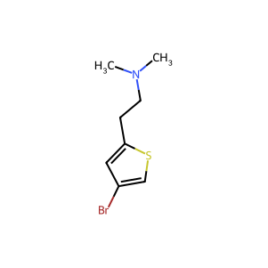 CN(C)CCc1cc(Br)cs1